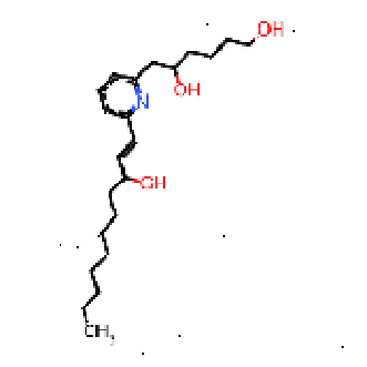 CCCCCCCCC(O)C=Cc1cccc(CC(O)CCCCO)n1